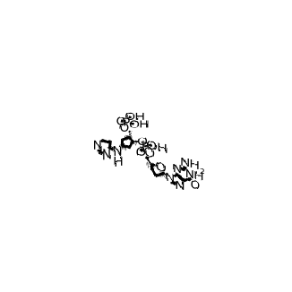 Nc1nc2c(ncn2[C@H]2CC[C@@H](COP(=O)(O)O[C@H]3C[C@H](Nc4ccncn4)C[C@@H]3COP(=O)(O)O)O2)c(=O)[nH]1